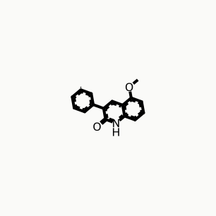 COc1cccc2[nH]c(=O)c(-c3c[c]ccc3)cc12